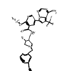 COc1ncc(-c2cc(C(F)(F)F)c3c(N)ncnn23)cc1C(=O)NC1CN(Cc2cccc(C#N)c2)CC1F